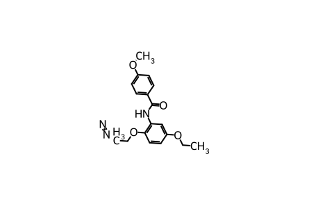 CCOc1ccc(OCC)c(NC(=O)c2ccc(OC)cc2)c1.N#N